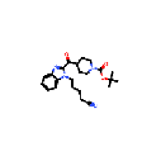 CC(C)(C)OC(=O)N1CCC(C(=O)c2nc3ccccc3n2CCCCC#N)CC1